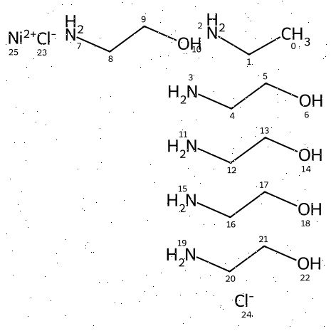 CCN.NCCO.NCCO.NCCO.NCCO.NCCO.[Cl-].[Cl-].[Ni+2]